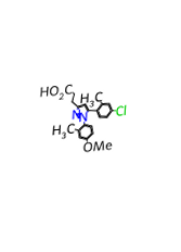 COc1ccc(-n2nc(CCC(=O)O)cc2-c2ccc(Cl)cc2C)c(C)c1